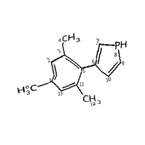 Cc1cc(C)c(-c2[c][pH]cc2)c(C)c1